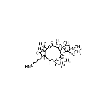 CC[C@H]1OC(=O)[C@H](C)C(=O)[C@H](C)[C@@H](O[C@@H]2OC(C)CC(N(C)C)C2P=O)[C@](C)(OC)C[C@@H](C)CNC[C@H]2N(CCCCN=[N+]=[N-])C(=O)O[C@]12C